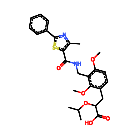 COc1ccc(CC(OC(C)C)C(=O)O)c(OC)c1CNC(=O)c1sc(-c2ccccc2)nc1C